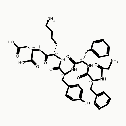 NCCCC[C@H](NC(=O)[C@H](Cc1ccc(O)cc1)NC(=O)[C@H](Cc1ccccc1)NC(=O)[C@H](Cc1ccccc1)NC(=O)CN)C(=O)N[C@@H](CC(=O)O)C(=O)O